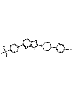 CCc1cnc(N2CCN(c3nc4ccc(-c5ccc(S(C)(=O)=O)cc5)nc4s3)CC2)nc1